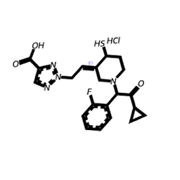 Cl.O=C(O)c1cnn(C/C=C2\CN(C(C(=O)C3CC3)c3ccccc3F)CCC2S)n1